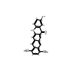 CCCCc1ccc(CCCC)c2cc3cc4c(=O)c5cc(F)ccc5sc4cc3cc12